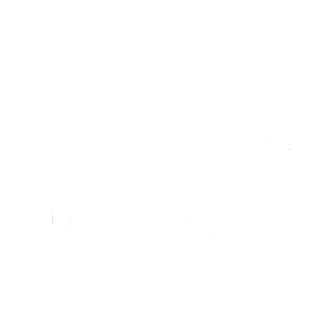 [CH2-]CCCCCCC[CH2-].[Cr].[Cr]